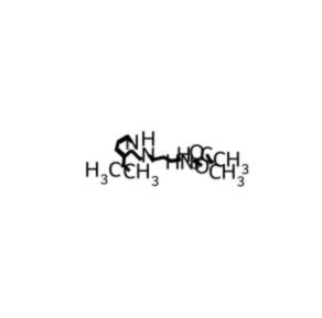 CC(C)c1cccnc1CNCCCCNC(=O)OC(C)(C)C